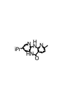 Cc1ccc2c(n1)Nc1ncc(C(C)C)cc1NC2=O